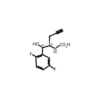 C#CC[C@@H](NC(=O)O)[C@H](O)c1cc(F)ccc1F